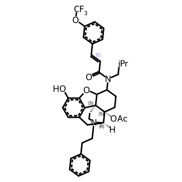 CC(=O)O[C@@]12CCC(N(CC(C)C)C(=O)/C=C/c3cccc(OC(F)(F)F)c3)C3Oc4c(O)ccc5c4[C@@]31CCN(CCc1ccccc1)[C@@H]2C5